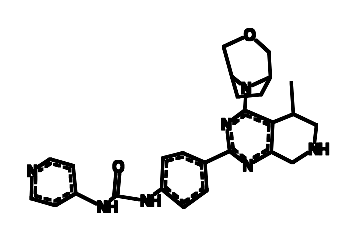 CC1CNCc2nc(-c3ccc(NC(=O)Nc4ccncc4)cc3)nc(N3C4CCC3COC4)c21